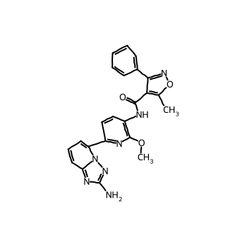 COc1nc(-c2cccc3nc(N)nn23)ccc1NC(=O)c1c(-c2ccccc2)noc1C